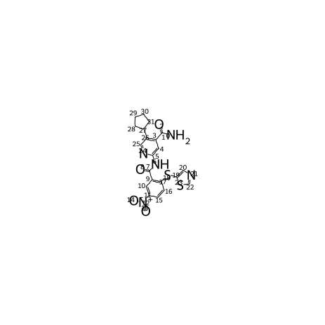 NC(=O)c1cc(NC(=O)c2cc([N+](=O)[O-])ccc2Sc2cncs2)ncc1C1CCCC1